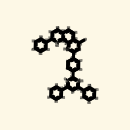 Cc1cc(-c2ccc(-c3nc(-c4ccccc4)cc(-c4ccccc4)n3)cc2)nc2c1ccc1ccc(-c3ccccc3)nc12